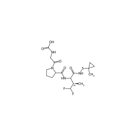 C[C@@H](C(F)F)C(NC(=O)C1CCCN1C(=O)CNC(=O)O)C(=O)NSC1(C)CC1